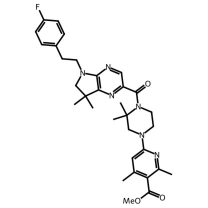 COC(=O)c1c(C)cc(N2CCN(C(=O)c3cnc4c(n3)C(C)(C)CN4CCc3ccc(F)cc3)C(C)(C)C2)nc1C